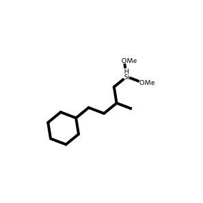 CO[SiH](CC(C)CCC1CCCCC1)OC